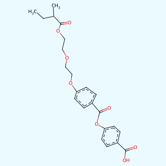 CCC(C)C(=O)OCCOCCOc1ccc(C(=O)Oc2ccc(C(=O)O)cc2)cc1